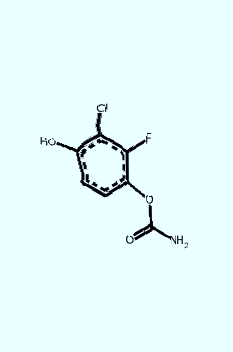 NC(=O)Oc1ccc(O)c(Cl)c1F